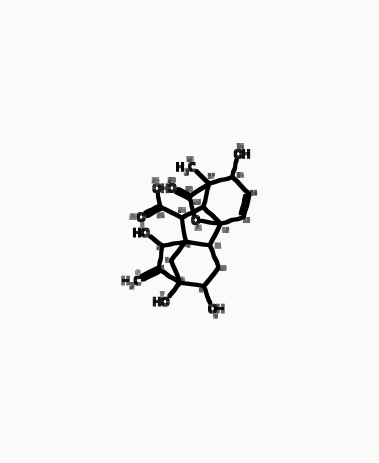 C=C1C(O)C23CC1(O)C(O)CC2C12C=CC(O)C(C)(C(=O)O1)C2C3C(=O)O